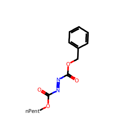 CCCCCOC(=O)/N=N/C(=O)OCc1ccccc1